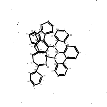 CC1(C)c2ccccc2-c2c(N3B4c5c(cccc5-c5ccccc53)-c3ccccc3N4C3=NC(c4ccccc4)=CCC(c4ccccc4)=N3)cccc21